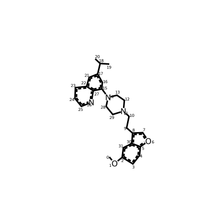 COc1ccc2occ(CCN3CCN(c4cc(C(C)C)cc5cccnc45)CC3)c2c1